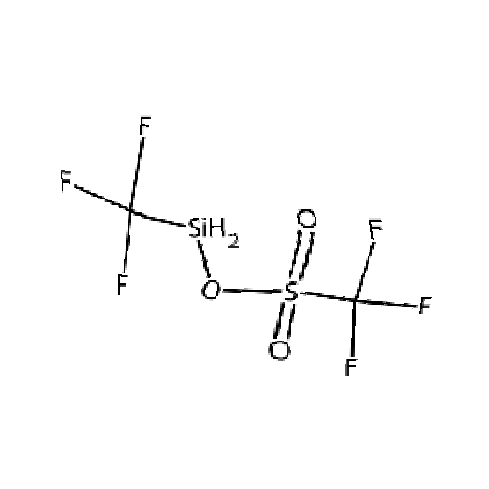 O=S(=O)(O[SiH2]C(F)(F)F)C(F)(F)F